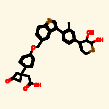 Cc1cc(C2=CCSC(O)C2O)ccc1-c1csc2ccc(COc3ccc(C4(CC(=O)O)CC(=O)C4)cc3)cc12